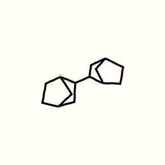 C1CC2C[C]1C(C1CC3CCC1C3)C2